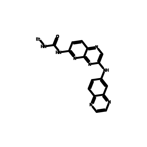 CCNC(=O)Nc1ccc2ncc(Nc3ccc4nccnc4c3)nc2n1